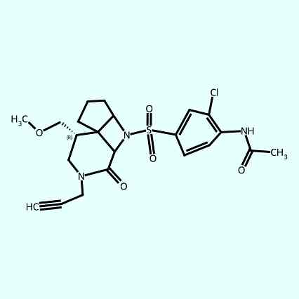 C#CCN1C[C@H](COC)C23CCCC2N(S(=O)(=O)c2ccc(NC(C)=O)c(Cl)c2)C3C1=O